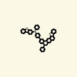 c1ccc(C2Cc3cc4ccc5c6ccccc6sc5c4cc3-c3cc(-c4ccc(N(c5ccccc5)c5ccc6c(c5)sc5ccccc56)cc4)ccc32)cc1